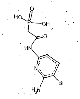 Nc1nc(NC(=O)CP(=O)(O)O)ccc1Br